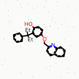 CCC(CC)(c1ccccc1)c1cc(OCc2ccc3ccccc3n2)ccc1O